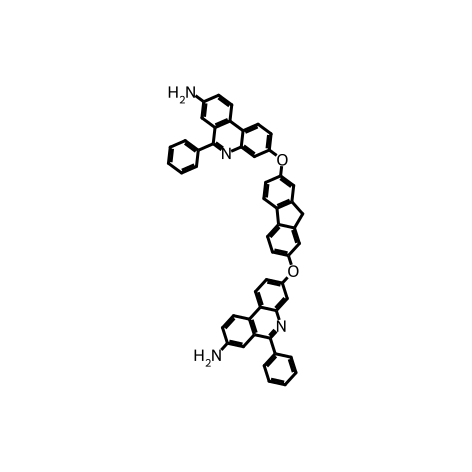 Nc1ccc2c(c1)c(-c1ccccc1)nc1cc(Oc3ccc4c(c3)Cc3cc(Oc5ccc6c(c5)nc(-c5ccccc5)c5cc(N)ccc56)ccc3-4)ccc12